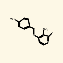 COc1ccc(COc2ccnc(F)c2[N+](=O)[O-])cc1